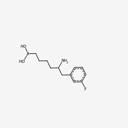 NC(CCCCB(O)O)Cc1cccc(F)c1